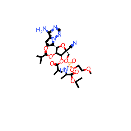 COCCOP(=O)(NC(C)C(=O)OC(C)C)OC[C@@]1(C#N)O[C@@H](c2ccc3c(N)ncnn23)[C@H](OC(=O)C(C)C)[C@@H]1OC(=O)C(C)C